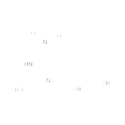 Cc1nc(CC(O)CO)c([N+](=O)[O-])[nH]1